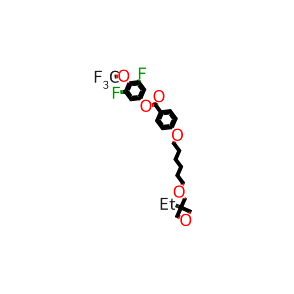 CCC1(COCCCCCCOc2ccc(C(=O)Oc3cc(F)c(OC(F)(F)F)c(F)c3)cc2)COC1